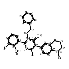 Cc1nc(-c2cccc(F)c2O)n(CCc2ccccc2)c(=O)c1-c1ccc2c(c1)CCCN2C